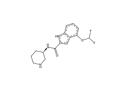 O=C(N[C@@H]1CCCNC1)c1cc2c(OC(F)F)cccc2[nH]1